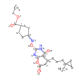 CCOC(=O)C1CCC(=NOc2nc3oc(=O)cc(CCCC4(C)CC4)c3c(=O)[nH]2)CC1